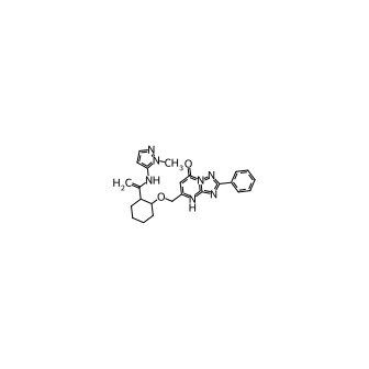 C=C(Nc1ccnn1C)C1CCCCC1OCc1cc(=O)n2nc(-c3ccccc3)nc2[nH]1